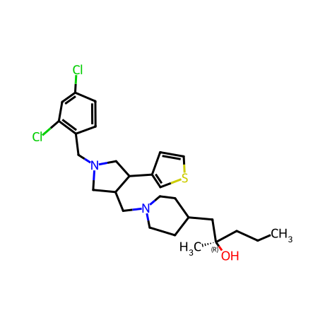 CCC[C@@](C)(O)CC1CCN(CC2CN(Cc3ccc(Cl)cc3Cl)CC2c2ccsc2)CC1